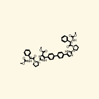 COC(=O)N[C@@H](C(=O)N1CCC[C@H]1c1ncc(-c2ccc(-c3ccc(-c4[nH]c([C@@H]5CCCN5C(=O)[C@H](NC(=O)OC)c5ccccc5)nc4C(=O)OC)cc3)cc2)[nH]1)c1ccccc1